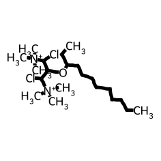 CCCCCCCCCC(CC)OC(C(Cl)[N+](C)(C)C)C(Cl)[N+](C)(C)C